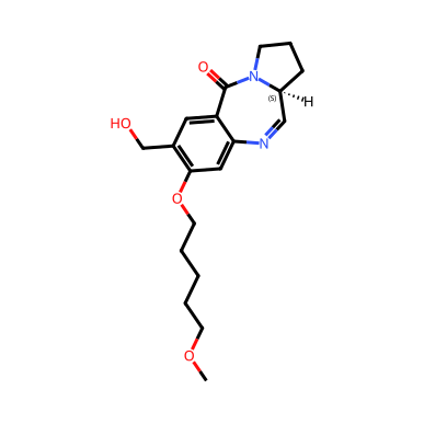 COCCCCCOc1cc2c(cc1CO)C(=O)N1CCC[C@H]1C=N2